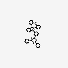 c1ccc(-c2nc(-c3ccccc3)nc(-c3cccc(-n4c5c(c6ccccc64)-c4ccccc4Sc4ccccc4-5)c3)n2)cc1